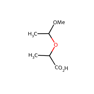 COC(C)OC(C)C(=O)O